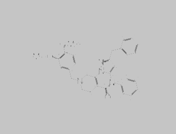 COc1ccc(CN2CCc3c(n4nc(Cc5ccccc5)cc4n(-c4ccccc4)c3=O)C2)cc1OC